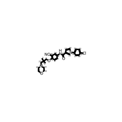 CC(C)(COc1ccc(NC(=O)c2ccn(-c3ccc(Cl)cc3)c2)cc1C#N)CN1CCOCC1